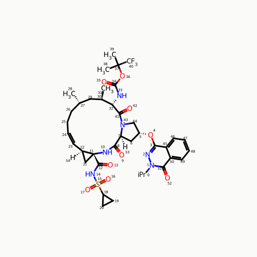 CC(C)n1nc(O[C@@H]2C[C@H]3C(=O)N[C@]4(C(=O)NS(=O)(=O)C5CC5)C[C@H]4/C=C\CC[C@H](C)C[C@@H](C)[C@H](NC(=O)OC(C)(C)C(F)(F)F)C(=O)N3C2)c2ccccc2c1=O